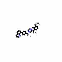 C=Cc1cccc(CC)c1CN1CCN(C(=C)c2ccc(-c3cccc4cccnc34)cc2)CC1